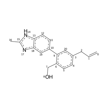 C=CCc1ccc(CO)c(-c2ccc3[nH]c(C)nc3c2)c1